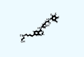 CCN(CCO)CC/C=C/c1ccc2c(Nc3cc(CC(=O)Nc4cc(F)c(F)c(F)c4F)[nH]n3)ncnc2c1